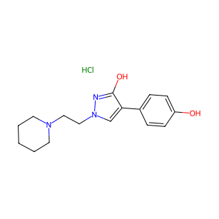 Cl.Oc1ccc(-c2cn(CCN3CCCCC3)nc2O)cc1